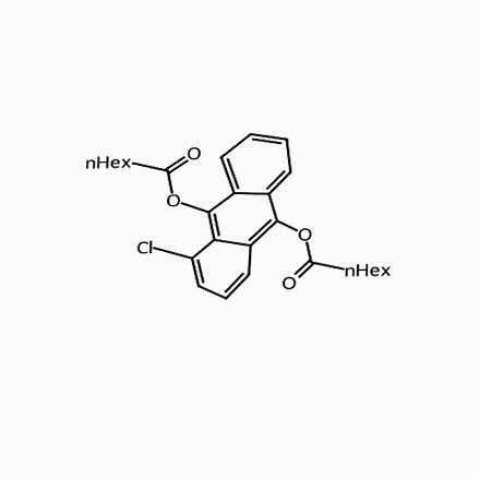 CCCCCCC(=O)Oc1c2ccccc2c(OC(=O)CCCCCC)c2c(Cl)cccc12